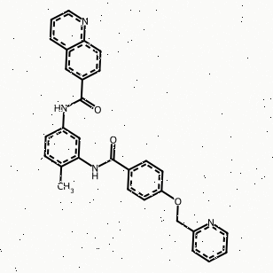 Cc1ccc(NC(=O)c2ccc3ncccc3c2)cc1NC(=O)c1ccc(OCc2ccccn2)cc1